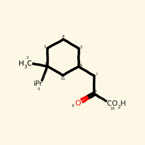 CC(C)C1(C)CCCC(CC(=O)C(=O)O)C1